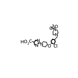 CS(=O)(=O)N1CCN(Cc2ccc(OC3CCN(c4ncc(C(=O)O)cn4)CC3)c(Cl)c2)CC1